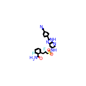 N#Cc1ccc(-c2nc3cc(NS(=O)(=O)CC(F)Cc4cccc(F)c4C(N)=O)cnc3[nH]2)cc1